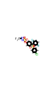 O=S(=O)(NCC(F)(F)F)OC1CCC(c2cc(F)ccc2F)(S(=O)(=O)c2ccc(Cl)cc2)CC1